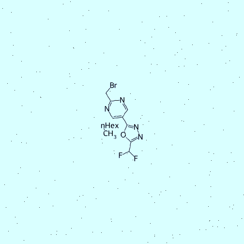 CCCCCCC.FC(F)c1nnc(-c2cnc(CBr)nc2)o1